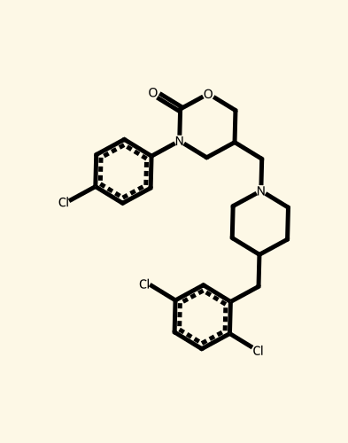 O=C1OCC(CN2CCC(Cc3cc(Cl)ccc3Cl)CC2)CN1c1ccc(Cl)cc1